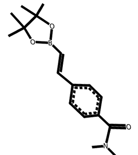 CN(C)C(=O)c1ccc(/C=C/B2OC(C)(C)C(C)(C)O2)cc1